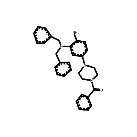 Nc1ccc(N2CCN(C(=O)c3ccccc3)CC2)cc1N(Cc1ccccc1)Cc1ccccc1